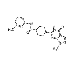 Cc1cccc(NC(=O)C2CCN(c3nc4c(cnn4C)c(=O)[nH]3)CC2)n1